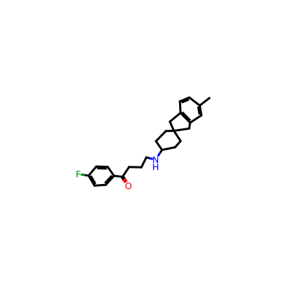 Cc1ccc2c(c1)CC1(CCC(NCCCC(=O)c3ccc(F)cc3)CC1)C2